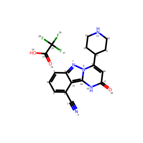 N#Cc1cccc2nn3c(C4CCNCC4)cc(=O)[nH]c3c12.O=C(O)C(F)(F)F